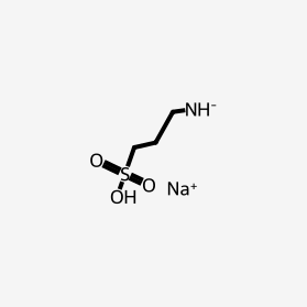 [NH-]CCCS(=O)(=O)O.[Na+]